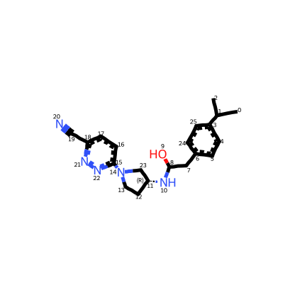 CC(C)c1ccc(CC(O)N[C@@H]2CCN(c3ccc(C#N)nn3)C2)cc1